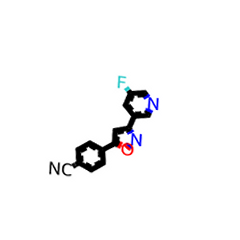 N#Cc1ccc(-c2cc(-c3cncc(F)c3)no2)cc1